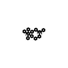 c1ccc(-c2cccc(-c3nc(-c4ccccc4)cc(-c4cccc(-c5ccc(-c6c(-c7ccccc7)c(-c7ccccc7)nc(-c7ccccc7)c6-c6ccccc6)cc5)c4)n3)c2)cc1